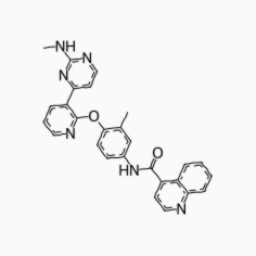 CNc1nccc(-c2cccnc2Oc2ccc(NC(=O)c3ccnc4ccccc34)cc2C)n1